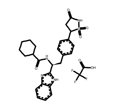 O=C(O)C(F)(F)F.O=C1CC(c2ccc(C[C@H](NC(=O)C3CCCCC3)c3nc4ccccc4[nH]3)cc2)S(=O)(=O)N1